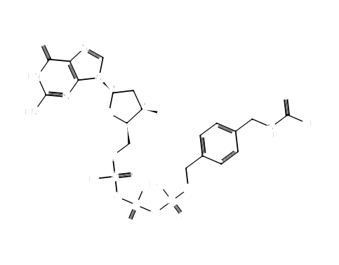 Nc1nc2c(ncn2[C@H]2C[C@@H](O)[C@@H](COP(=O)(O)OP(=O)(O)OP(=O)(O)OCc3ccc(CNC(=O)C(F)(F)F)cc3)O2)c(=O)[nH]1